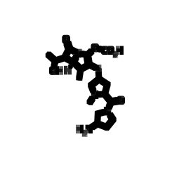 CC(O)C1C(=O)N2C(OC(=O)O)=C(SC3CC(C(=O)N4CCC(N)C4)N(C)C3)C(C)[C@@H]12